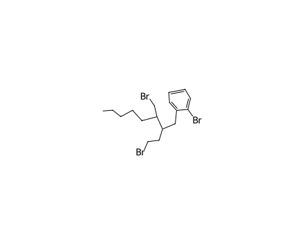 CCCCCC(CBr)C(CCBr)Cc1ccccc1Br